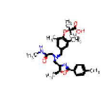 CNC(=O)CN(Cc1cc(C)c(OC(C)(C)C(=O)O)c(C)c1)Cc1nc(-c2ccc(C)cc2)oc1C